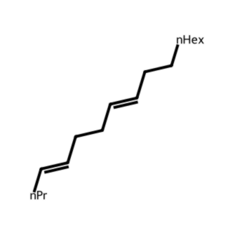 CCCC=CCCC=CCCCCCCCC